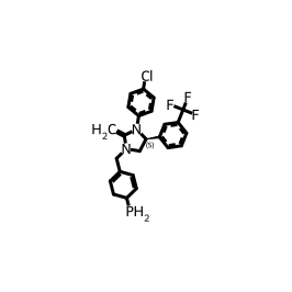 C=C1N(CC2=CCC(P)C=C2)C[C@H](c2cccc(C(F)(F)F)c2)N1c1ccc(Cl)cc1